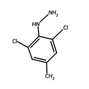 Cc1cc(Cl)c(NN)c(Cl)c1